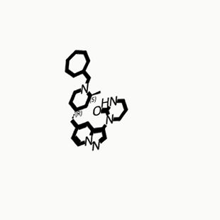 C[C@H]1C[C@H](Cc2ccn3ncc(N4CCCNC4=O)c3c2)CCN1CC1CCCCCC1